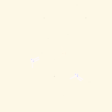 c1ccc(-c2ccnc3c2oc2c4ccccc4ccc32)nc1